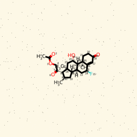 CC(=O)OCC(=O)[C@H]1[C@H](C)C[C@H]2[C@@H]3C[C@H](F)C4=CC(=O)CC[C@]4(C)[C@H]3[C@@H](O)C[C@@]21C